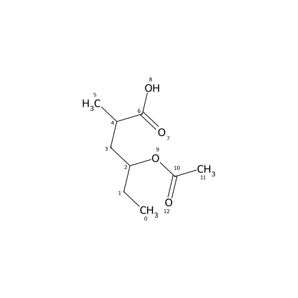 CCC(CC(C)C(=O)O)OC(C)=O